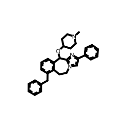 CN1CCC(OC2c3cccc(Cc4ccccc4)c3CCn3cc(-c4ccccc4)nc32)CC1